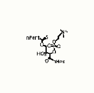 CCCCCCC(=O)C(OP(=O)([O-])OCC[N+](C)(C)C)[C@@H](O)COC(=S)CCCCC